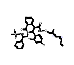 C=C/C=C\C=C(/C)CONC(=O)C1c2ccccc2C(=O)N(CC(NS(C)(=O)=O)c2ccccc2)C1c1ccc(Cl)cc1Cl